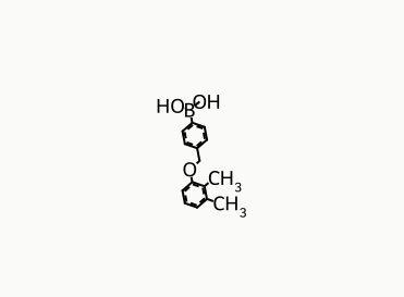 Cc1cccc(OCc2ccc(B(O)O)cc2)c1C